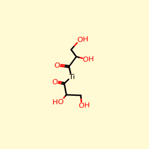 O=[C]([Ti][C](=O)C(O)CO)C(O)CO